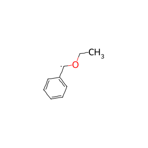 CCO[CH]c1ccccc1